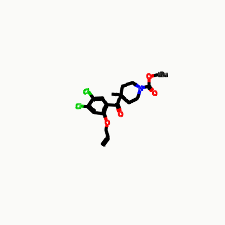 C=CCOc1cc(Cl)c(Cl)cc1C(=O)C1(C)CCN(C(=O)OC(C)(C)C)CC1